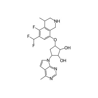 Cc1ncnc2c1ccn2C1CC(Oc2cc(C(F)F)c(F)c3c2CNCC3C)C(O)C1O